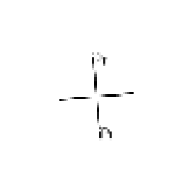 CC(C)C(C)(C)C(C)C